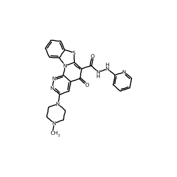 CN1CCN(c2cc3c(=O)c(C(=O)NNc4ccccn4)c4sc5ccccc5n4c3nn2)CC1